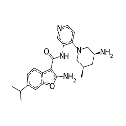 CC(C)c1ccc2c(C(=O)Nc3cnccc3N3C[C@H](C)C[C@H](N)C3)c(N)oc2c1